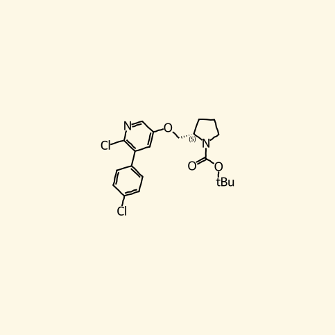 CC(C)(C)OC(=O)N1CCC[C@H]1COc1cnc(Cl)c(-c2ccc(Cl)cc2)c1